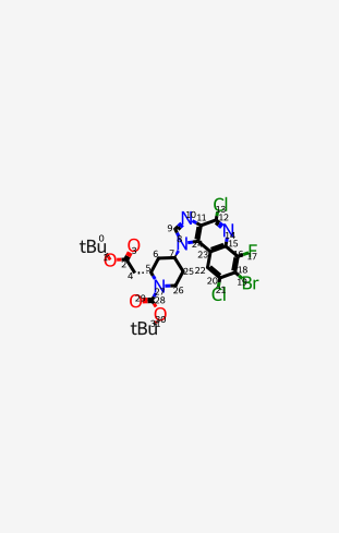 CC(C)(C)OC(=O)C[C@@H]1C[C@@H](n2cnc3c(Cl)nc4c(F)c(Br)c(Cl)cc4c32)CCN1C(=O)OC(C)(C)C